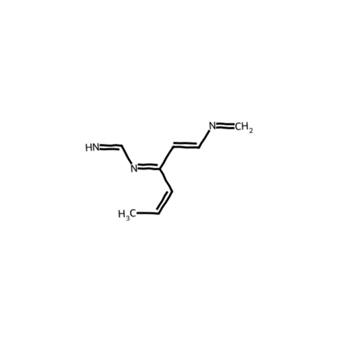 C=N/C=C/C(/C=C\C)=N\C=N